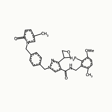 COc1ccc(C)c(CNC(=O)c2cn(Cc3ccc(Cn4cc(C)ccc4=O)cc3)nc2C2COC2)c1P